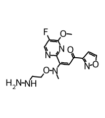 COc1nc(/C(=C\C(=O)c2ccon2)N(C)OCCNN)ncc1F